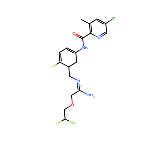 Cc1cc(Cl)cnc1C(=O)NC1=CC=C(F)C(C/N=C(/N)COCC(F)F)C1